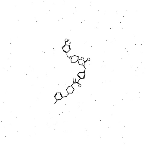 Cc1cccc(CN2CCC(NC(=O)c3ccc(CN4CC5(CCN(Cc6ccc(C(F)(F)F)cc6)CC5)OC4=O)cc3)CC2)c1